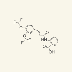 O=C(/C=C/c1ccc(OC(F)F)c(OC(F)F)c1)Nc1ccccc1C(=O)O